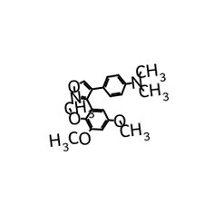 COc1cc(OC)c(OC)c(-c2nocc2-c2ccc(N(C)C)cc2)c1